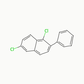 Clc1ccc2c(Cl)c(-c3ccccc3)ccc2c1